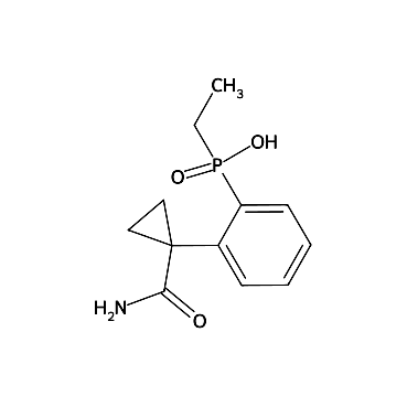 CCP(=O)(O)c1ccccc1C1(C(N)=O)CC1